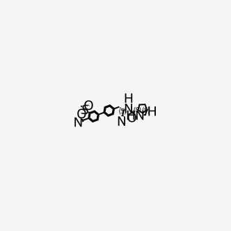 CS(=O)(=O)c1cc(-c2ccc(C[C@@H](C#N)NC(=O)[C@@]34CC[C@H](CN3)C4)cc2)ccc1C#N